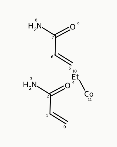 C=CC(N)=O.C=CC(N)=O.C[CH2][Co]